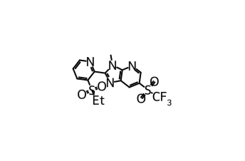 CCS(=O)(=O)c1cccnc1-c1nc2cc(S(=O)(=O)C(F)(F)F)cnc2n1C